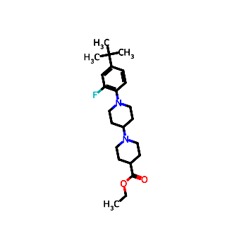 CCOC(=O)C1CCN(C2CCN(c3ccc(C(C)(C)C)cc3F)CC2)CC1